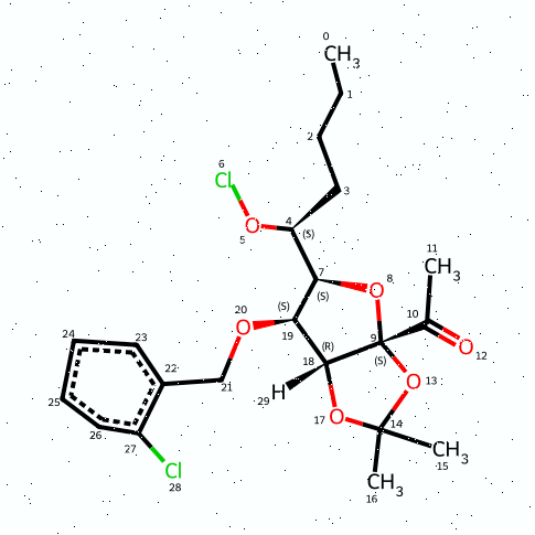 CCCC[C@H](OCl)[C@H]1O[C@]2(C(C)=O)OC(C)(C)O[C@@H]2[C@H]1OCc1ccccc1Cl